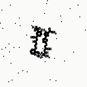 CC(C)(C)NCC(O)CSc1nc(-c2ccc(C(N)=O)s2)cs1.COc1ccccc1OCCNCC(O)c1ccc(C)c(S(N)(=O)=O)c1